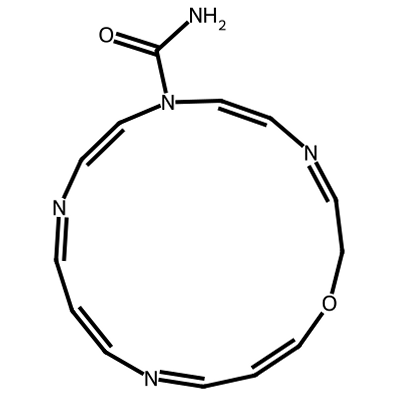 NC(=O)N1C=CN=CC=CN=CC=COCC=NC=C1